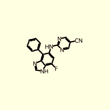 N#Cc1cnc(Nc2cc(F)c3[nH]cnc3c2-c2ccccc2)nc1